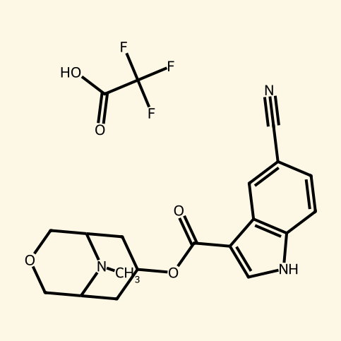 CN1C2COCC1CC(OC(=O)c1c[nH]c3ccc(C#N)cc13)C2.O=C(O)C(F)(F)F